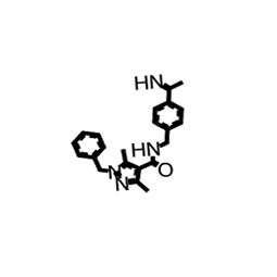 CC(=N)c1ccc(CNC(=O)c2c(C)nn(Cc3ccccc3)c2C)cc1